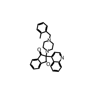 Cc1ccccc1CN1CCN(C2(c3ccnc4ccccc34)C(=O)c3ccccc3C2=O)CC1